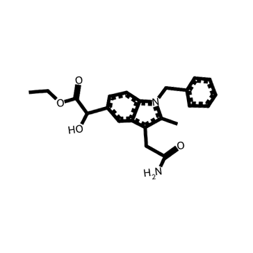 CCOC(=O)C(O)c1ccc2c(c1)c(CC(N)=O)c(C)n2Cc1ccccc1